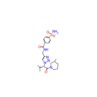 CC1CCCN(C(=O)[C@@H](C(C)C)n2cc(CNC(=O)c3ccc(S(N)(=O)=O)cc3)nn2)C1